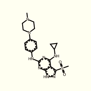 CN1CCN(c2ccc(Nc3nc(NC4CC4)c4c(S(C)(=O)=O)n[nH]c4n3)cc2)CC1